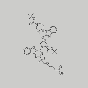 C[C@H]1CN(C(=O)OC(C)(C)C)CC[C@@H]1n1c(O[C@H]2C[C@@H](C(=O)OC(C)(C)C)N(c3nc(C(F)(F)COCCCC(=O)O)nc4c3oc3ccccc34)C2)nc2ccccc21